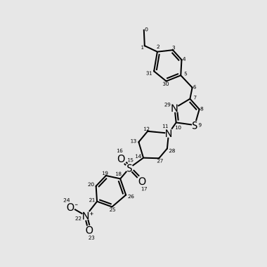 CCc1ccc(Cc2csc(N3CCC(S(=O)(=O)c4ccc([N+](=O)[O-])cc4)CC3)n2)cc1